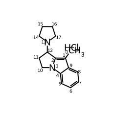 Cc1c2n(c3ccccc13)CCC2N1CCCC1.Cl